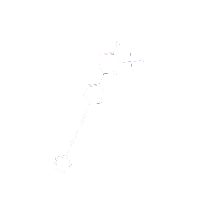 CC(C)(N)[C@H](NC(=O)c1ccc(C#CC#Cc2ccsc2)cc1)C(=O)NO